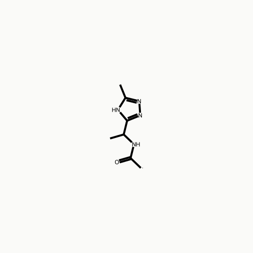 [CH2]C(=O)NC(C)c1nnc(C)[nH]1